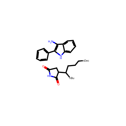 CCCCCCCCCCCCCC(CCCC)C1CC(=O)NC1=O.Nc1c(-c2ccccc2)[nH]c2ccccc12